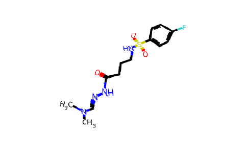 CN(C)C=NNC(=O)CCCNS(=O)(=O)c1ccc(F)cc1